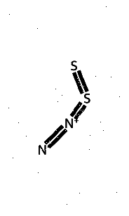 [N-]=[N+]=S=S